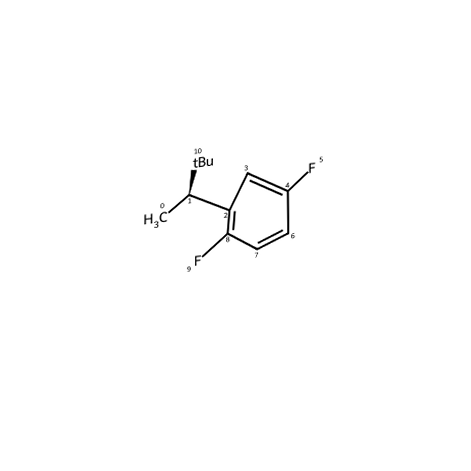 C[C@H](c1cc(F)ccc1F)C(C)(C)C